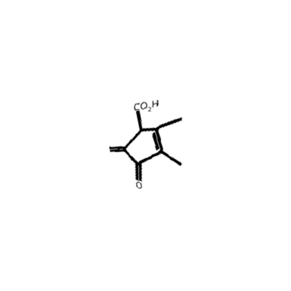 C=C1C(=O)C(C)=C(C)C1C(=O)O